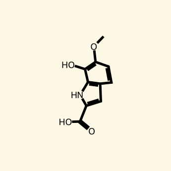 COc1ccc2cc(C(=O)O)[nH]c2c1O